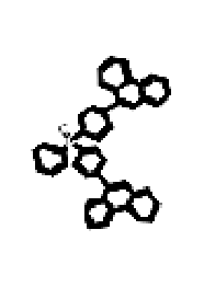 O=P(c1ccccc1)(c1ccc(-c2cc3ccccc3c3ccccc23)cc1)c1ccc(-c2cc3ccccc3c3ccccc23)cc1